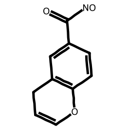 O=NC(=O)c1ccc2c(c1)CC=CO2